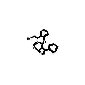 OCCc1ccccc1Nc1nc[nH]c2ncc(-c3ccccc3)c1-2